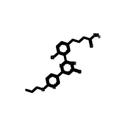 CCCOc1ccc(-c2cc(=O)[nH]c(-c3cc(CCCC(N)=O)ccc3Cl)n2)cn1